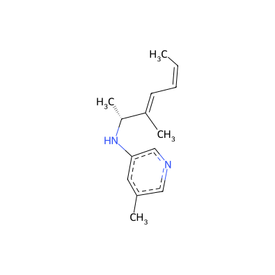 C/C=C\C=C(/C)[C@@H](C)Nc1cncc(C)c1